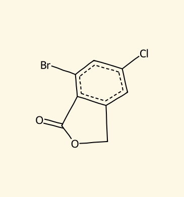 O=C1OCc2cc(Cl)cc(Br)c21